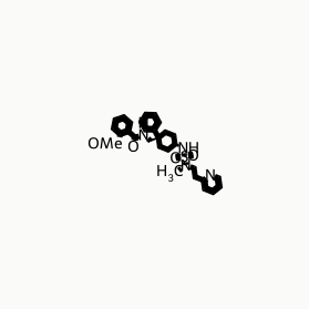 COc1ccccc1C(=O)NC[C@]1(c2ccccc2)CC[C@H](NS(=O)(=O)N(C)CCc2ccccn2)CC1